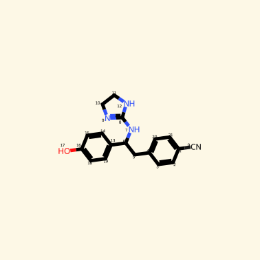 N#Cc1ccc(CC(NC2=NCCN2)c2ccc(O)cc2)cc1